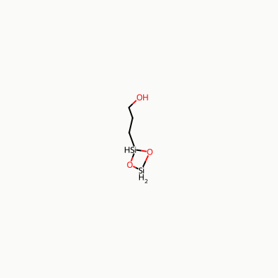 OCCC[SiH]1O[SiH2]O1